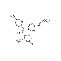 CC/C(=C(\c1ccc(O)cc1)c1ccc(/C=C/C(=O)O)cc1)c1ccc(F)cc1C